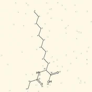 CCCCCCCCCCC(NC(=O)CC)C(=O)O